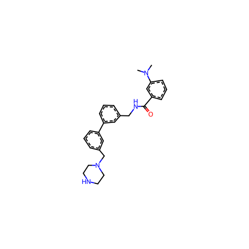 CN(C)c1cccc(C(=O)NCc2cccc(-c3cccc(CN4CCNCC4)c3)c2)c1